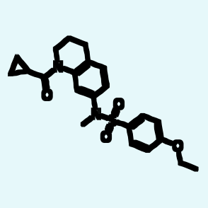 CCOc1ccc(S(=O)(=O)N(C)c2ccc3c(c2)N(C(=O)C2CC2)CCC3)cc1